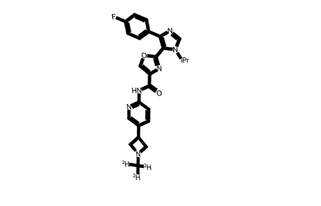 [2H]C([2H])([2H])N1CC(c2ccc(NC(=O)c3coc(-c4c(-c5ccc(F)cc5)ncn4C(C)C)n3)nc2)C1